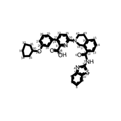 O=C(Nc1nc2ccccc2s1)c1cccc2c1CN(c1ccc(-c3cccc(OC4CCCCC4)c3)c(C(=O)O)n1)CC2